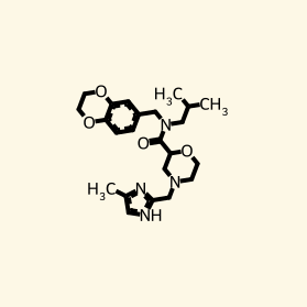 Cc1c[nH]c(CN2CCOC(C(=O)N(Cc3ccc4c(c3)OCCO4)CC(C)C)C2)n1